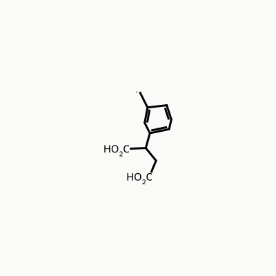 [CH2]c1cccc(C(CC(=O)O)C(=O)O)c1